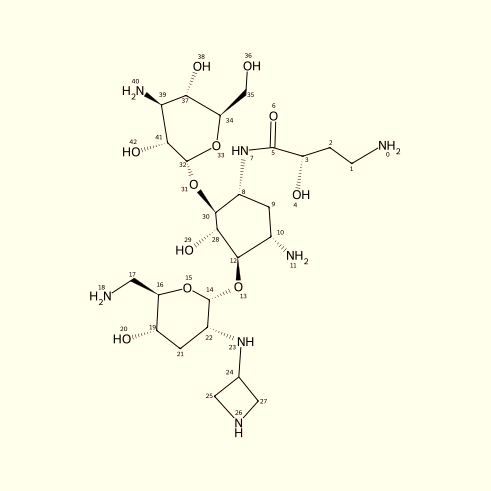 NCC[C@H](O)C(=O)N[C@@H]1C[C@H](N)[C@@H](O[C@H]2O[C@H](CN)[C@@H](O)C[C@H]2NC2CNC2)[C@H](O)[C@H]1O[C@H]1O[C@H](CO)[C@@H](O)[C@H](N)[C@H]1O